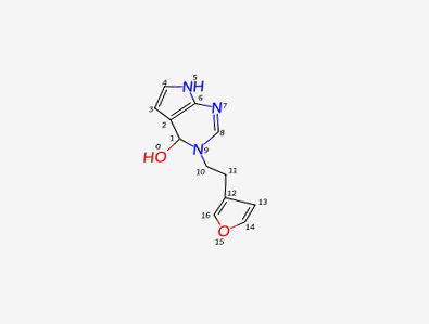 OC1c2cc[nH]c2N=CN1CCc1ccoc1